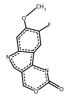 COc1cc2ncc3coc(=O)nc3c2cc1F